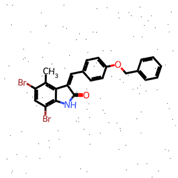 Cc1c(Br)cc(Br)c2c1C(=Cc1ccc(OCc3ccccc3)cc1)C(=O)N2